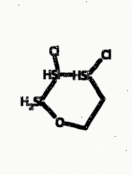 Cl[SiH]1CCO[SiH2][SiH]1Cl